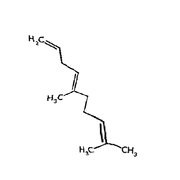 C=CC/C=C(\C)CCC=C(C)C